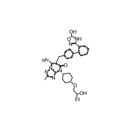 CCCc1c(Cc2ccc(-c3ccccc3C3=NOC(O)N3)cc2)c(=O)n([C@H]2CC[C@H](OCC(O)CC)CC2)c2nc(C)nn12